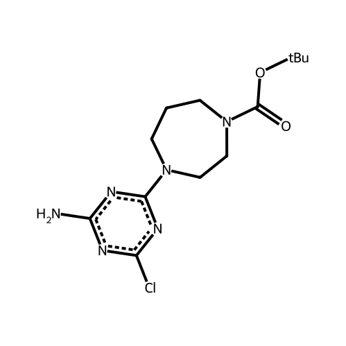 CC(C)(C)OC(=O)N1CCCN(c2nc(N)nc(Cl)n2)CC1